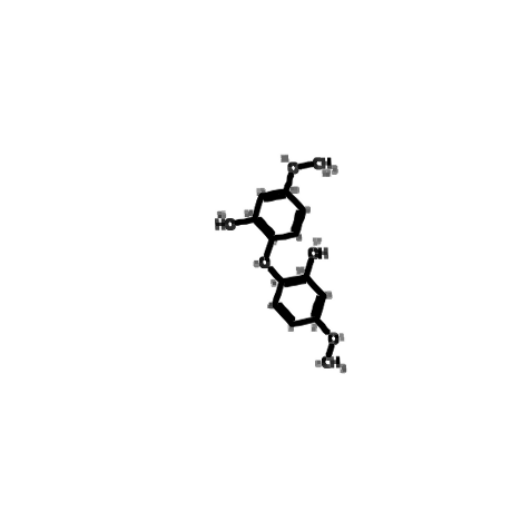 COc1ccc(Oc2ccc(OC)cc2O)c(O)c1